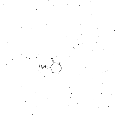 C=C1SCCCC1N